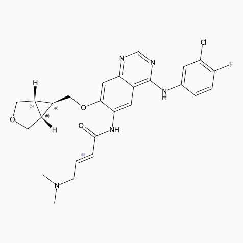 CN(C)C/C=C/C(=O)Nc1cc2c(Nc3ccc(F)c(Cl)c3)ncnc2cc1OC[C@H]1[C@@H]2COC[C@@H]21